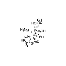 N.N.O=c1[nH]cnc2c1sc(=O)n2[C@@H]1O[C@H](COP(=O)(O)O)[C@@H](O)[C@H]1O